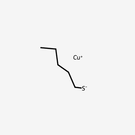 CCCCC[S-].[Cu+]